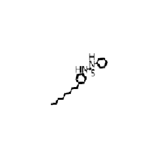 CCCCCCCCc1ccc(NC(=S)Nc2ccccc2)cc1